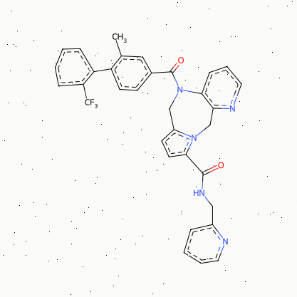 Cc1cc(C(=O)N2Cc3ccc(C(=O)NCc4ccccn4)n3Cc3ncccc32)ccc1-c1ccccc1C(F)(F)F